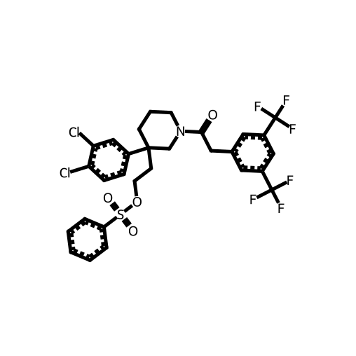 O=C(Cc1cc(C(F)(F)F)cc(C(F)(F)F)c1)N1CCCC(CCOS(=O)(=O)c2ccccc2)(c2ccc(Cl)c(Cl)c2)C1